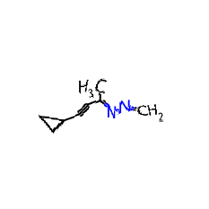 C=N/N=C(\C)C#CC1CC1